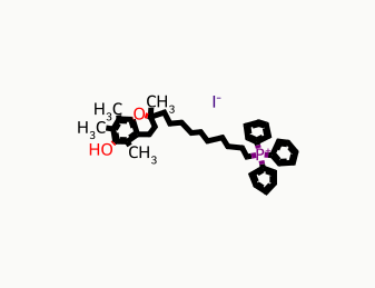 Cc1c(C)c2c(c(C)c1O)CCC(C)(CCCCCCCCCC[P+](c1ccccc1)(c1ccccc1)c1ccccc1)O2.[I-]